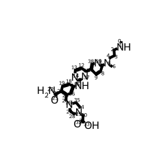 CNCCCN(C)c1ccc(-c2ccnc(Nc3ccc(C(N)=O)c(CN4CCN(CC(=O)O)CC4)c3)n2)cn1